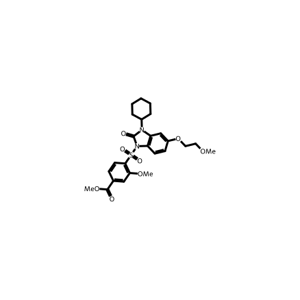 COCCOc1ccc2c(c1)n(C1CCCCC1)c(=O)n2S(=O)(=O)c1ccc(C(=O)OC)cc1OC